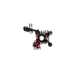 CON=C1C[C@@H](C)O[C@@H](O[C@@H]2[C@@H](C)[C@H](O[C@H]3CC(C)N(CCCC(=O)Nc4ccc5ccc(C)nc5n4)C[C@H](C)O3)[C@@H](C)C(=O)O[C@H](C(C)CO[C@@H]3O[C@H](C)[C@@H](O)[C@@H](OC)[C@H]3OC)[C@H](C)[C@@H](OC(=O)CC(C)C)[C@@H](C)C(=O)[C@@](C)(OC(=O)NCc3ccccc3)C[C@@H]2C)[C@@H]1O